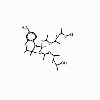 CCOC(C)OC(C)OC(C)OC(C)(OC(C)OC(C)OC(C)O)N1c2ccc(N)cc2CC(C)C1(C)C